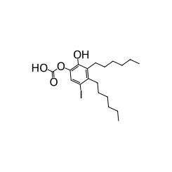 CCCCCCc1c(I)cc(OC(=O)O)c(O)c1CCCCCC